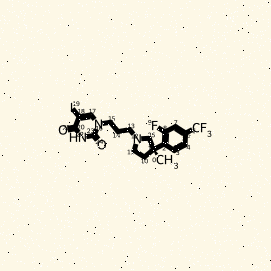 C[C@@]1(c2ccc(C(F)(F)F)cc2F)CCN(CCCn2cc(I)c(=O)[nH]c2=O)C1